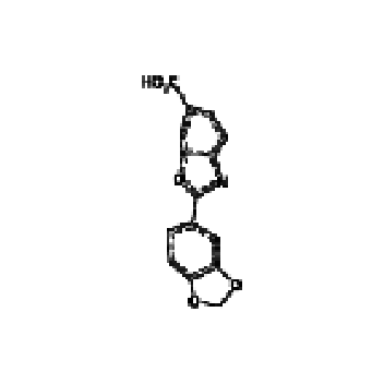 O=C(O)c1ccc2nc(-c3ccc4c(c3)OCO4)oc2c1